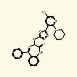 N#Cc1cnc(N2CCOCC2)c(-c2nnc(NC3N=C(c4ccccc4)c4ccccc4NC3=O)o2)c1